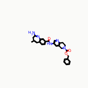 CC1=Cc2ccc(C(=O)Nc3cnc4c(c3)CN(C(=O)OCc3ccccc3)CC4)cc2N=C(N)C1